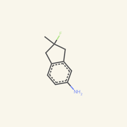 CC1(F)Cc2ccc(N)cc2C1